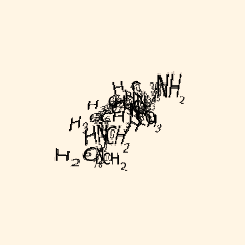 C=C(CCN1C(=C)CCC1=C)NCCC(C)(C)CCCC(C)(C)CCCNC(C)(C)C(=O)C(CCCCN)NCC